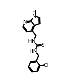 S=C(NCc1ccccc1Cl)NCc1ccnc2[nH]ccc12